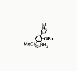 CCn1cc(-c2ccc(N(O)OC)c(N)c2OCC(C)C)cn1